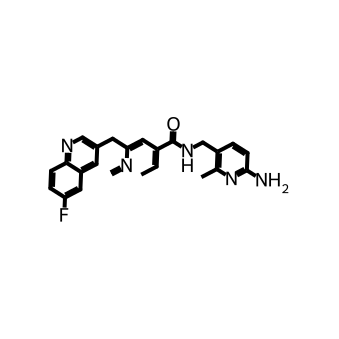 C=N/C(=C\C(=C/C)C(=O)NCc1ccc(N)nc1C)Cc1cnc2ccc(F)cc2c1